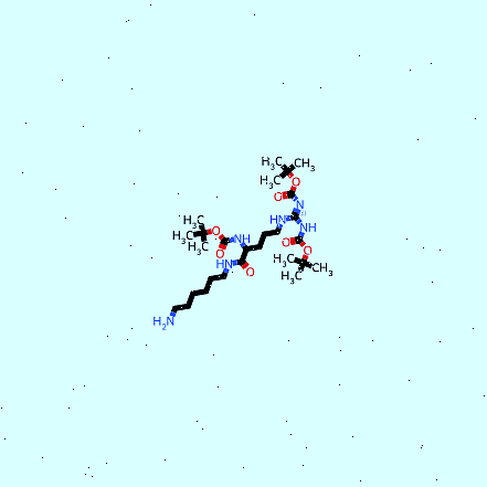 CC(C)(C)OC(=O)/N=C(\NCCCC(NC(=O)OC(C)(C)C)C(=O)NCCCCCCN)NC(=O)OC(C)(C)C